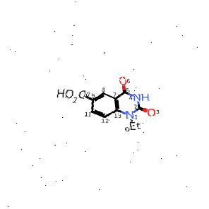 CCn1c(=O)[nH]c(=O)c2cc(C(=O)O)ccc21